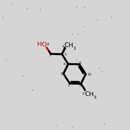 CC1=CCC(C(C)CO)C=C1